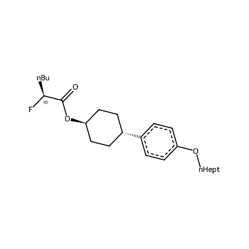 CCCCCCCOc1ccc([C@H]2CC[C@H](OC(=O)[C@@H](F)CCCC)CC2)cc1